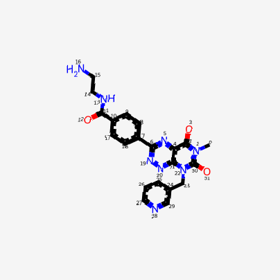 Cn1c(=O)c2nc(-c3ccc(C(=O)NCCN)cc3)nnc2n(Cc2cccnc2)c1=O